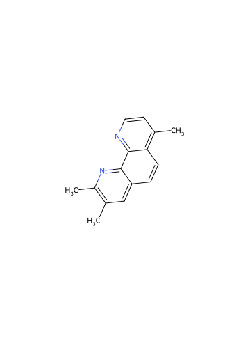 Cc1cc2ccc3c(C)ccnc3c2nc1C